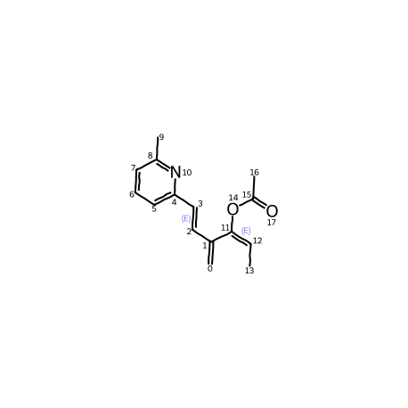 C=C(/C=C/c1cccc(C)n1)/C(=C\C)OC(C)=O